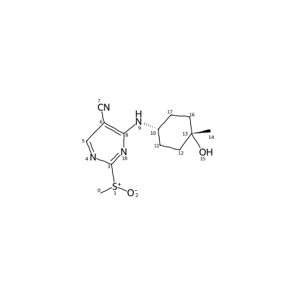 C[S+]([O-])c1ncc(C#N)c(N[C@H]2CC[C@@](C)(O)CC2)n1